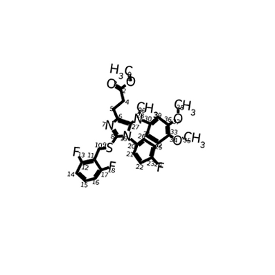 COC(=O)CCc1nc(SCc2c(F)cccc2F)n(-c2ccc(F)cc2)c1N(C)c1ccc(OC)c(OC)c1